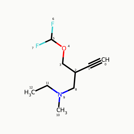 C#CC(COC(F)F)CN(C)CC